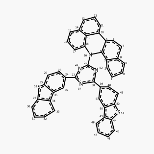 c1ccc2c3c(ccc2c1)-c1cccc2cccc(c12)N3c1nc(-c2ccc3sc4ccccc4c3c2)nc(-c2ccc3sc4ccccc4c3c2)n1